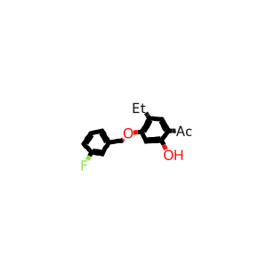 CCc1cc(C(C)=O)c(O)cc1OCc1cccc(F)c1